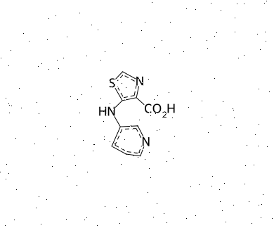 O=C(O)c1ncsc1Nc1cccnc1